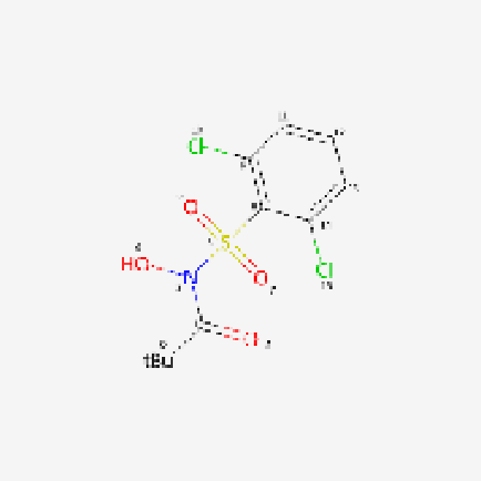 CC(C)(C)C(=O)N(O)S(=O)(=O)c1c(Cl)cccc1Cl